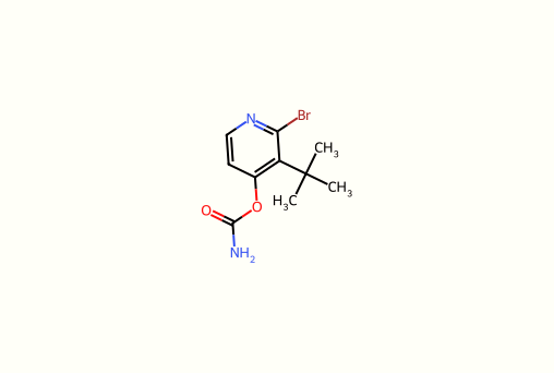 CC(C)(C)c1c(OC(N)=O)ccnc1Br